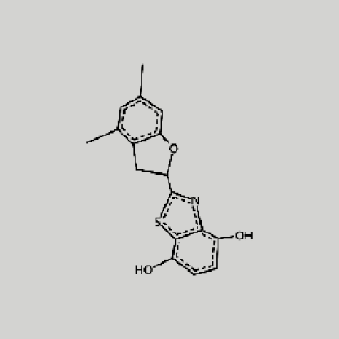 Cc1cc(C)c2c(c1)OC(c1nc3c(O)ccc(O)c3s1)C2